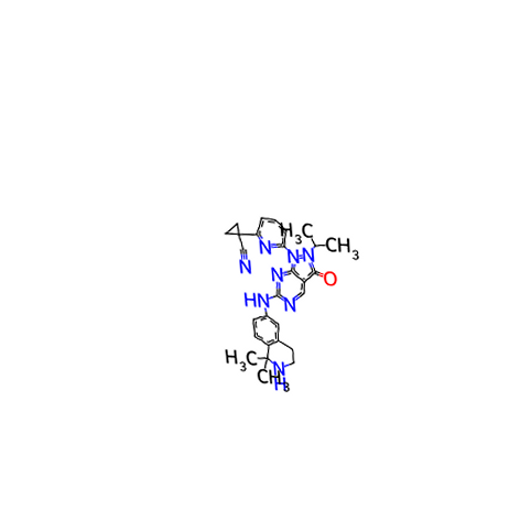 CC(C)n1c(=O)c2cnc(Nc3ccc4c(c3)CCNC4(C)C)nc2n1-c1cccc(C2(C#N)CC2)n1